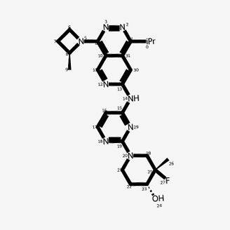 CC(C)c1nnc(N2CC[C@@H]2C)c2cnc(Nc3ccnc(N4CC[C@@H](O)[C@@](C)(F)C4)n3)cc12